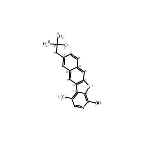 Cc1cnc(O)c2sc3cc4ccc(CC(C)(C)C)cc4cc3c12